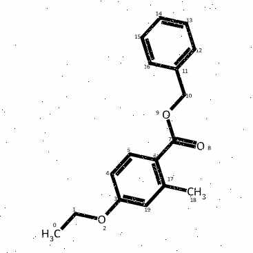 CCOc1ccc(C(=O)OCc2ccccc2)c(C)c1